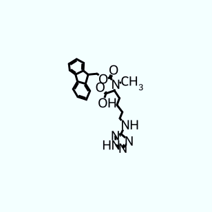 CN(C(=O)OCC1c2ccccc2-c2ccccc21)C(CCCCNc1nn[nH]n1)C(=O)O